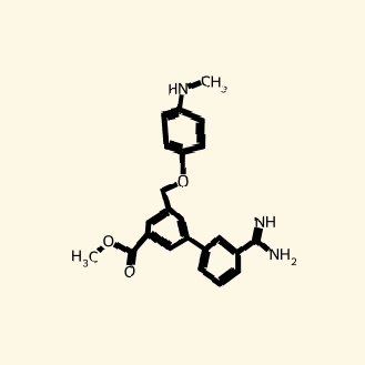 CNc1ccc(OCc2cc(C(=O)OC)cc(-c3cccc(C(=N)N)c3)c2)cc1